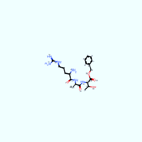 CCC(C)C(NC(=O)C(N)CCCNC(=N)N)C(=O)NC(C(=O)OCc1ccccc1)C(C)O